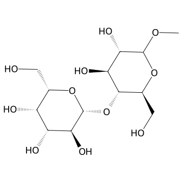 COC1O[C@@H](CO)[C@H](O[C@H]2O[C@@H](CO)[C@@H](O)[C@@H](O)[C@@H]2O)[C@@H](O)[C@@H]1O